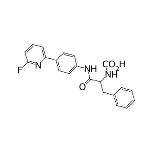 O=C(O)NC(Cc1ccccc1)C(=O)Nc1ccc(-c2cccc(F)n2)cc1